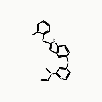 CN(C=O)c1cc(Oc2ccc3[nH]c(Nc4ccccc4F)nc3c2)ccn1